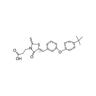 CC(C)(C)c1ccc(Oc2cccc(/C=C3\SC(=S)N(CCC(=O)O)C3=O)c2)cc1